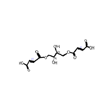 O=C(O)/C=C/C(=O)OC[C@@H](O)[C@@H](O)COC(=O)/C=C/C(=O)O